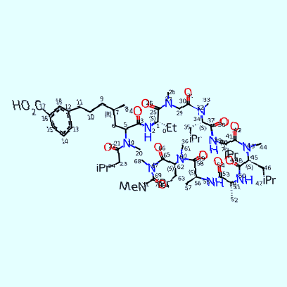 CC[C@H](NC(=O)C(C[C@H](C)CCCc1cccc(C(=O)O)c1)N(C)C(=O)CC(C)C)C(=O)N(C)CC(=O)N(C)[C@@H](CC(C)C)C(=O)N[C@H](C(=O)N(C)[C@@H](CC(C)C)C(=O)N[C@H](C)C(=O)N[C@@H](C)C(=O)N(C)[C@@H](CC(C)C)C(=O)N(C)C(=O)NC)C(C)C